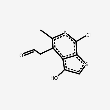 Cc1nc(Cl)c2scc(O)c2c1CC=O